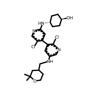 CC1(C)CC(CNc2cnc(Cl)c(-c3cc(N[C@H]4CC[C@H](O)CC4)ncc3Cl)c2)CCO1